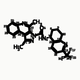 Cc1nn(C(=O)N[C@@H]2CCCc3nc(C(F)(F)F)ccc32)c2c(C)nc3ccccc3c12